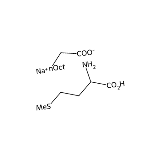 CCCCCCCCCC(=O)[O-].CSCCC(N)C(=O)O.[Na+]